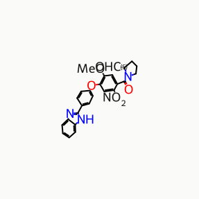 COc1cc(C(=O)N2CCC[C@H]2C=O)c([N+](=O)[O-])cc1Oc1ccc(-c2nc3ccccc3[nH]2)cc1